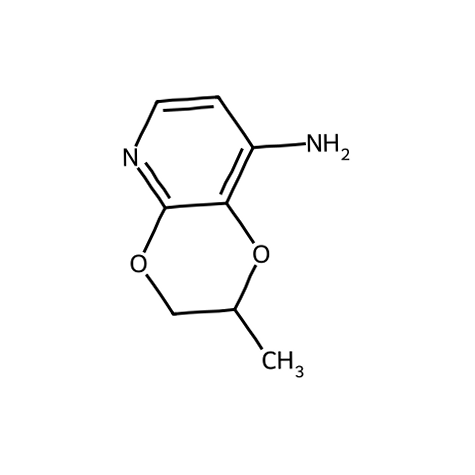 CC1COc2nccc(N)c2O1